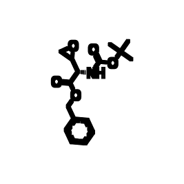 CC(C)(C)OC(=O)N[C@H](C(=O)OCc1ccccc1)C1CO1